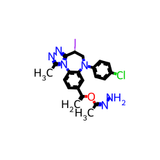 C=C(O/C(C)=N\N)c1ccc2c(c1)N(c1ccc(Cl)cc1)C[C@@H](I)c1nnc(C)n1-2